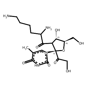 Cc1cn([C@]2(C(=O)CO)O[C@H](CO)[C@@H](O)C2C(=O)C(N)CCCCN)c(=O)[nH]c1=O